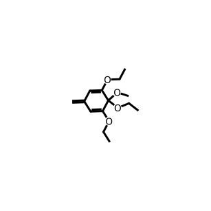 C=C1C=C(OCC)C(OC)(OCC)C(OCC)=C1